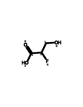 O=C(O)C(F)CO